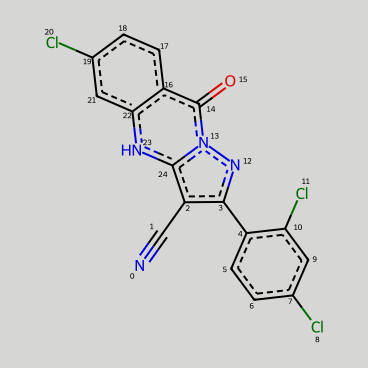 N#Cc1c(-c2ccc(Cl)cc2Cl)nn2c(=O)c3ccc(Cl)cc3[nH]c12